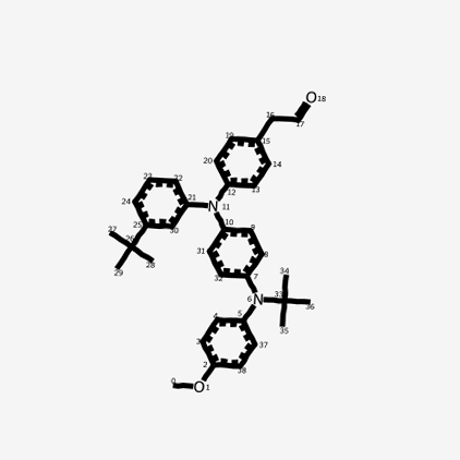 COc1ccc(N(c2ccc(N(c3ccc(CC=O)cc3)c3cccc(C(C)(C)C)c3)cc2)C(C)(C)C)cc1